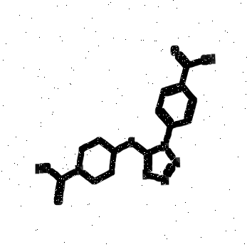 O=C(O)c1ccc(-n2nnnc2SC2CCN(C(=O)O)CC2)cc1